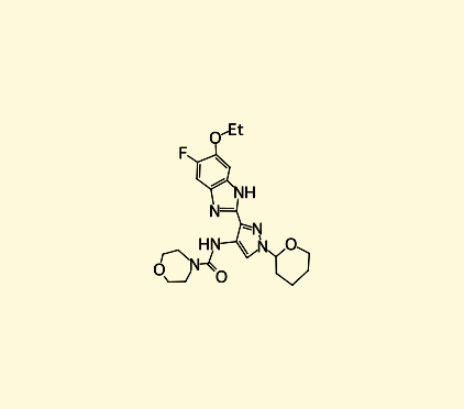 CCOc1cc2[nH]c(-c3nn(C4CCCCO4)cc3NC(=O)N3CCOCC3)nc2cc1F